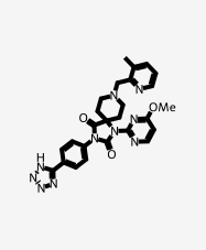 COc1ccnc(N2C(=O)N(c3ccc(-c4nnn[nH]4)cc3)C(=O)C23CCN(Cc2ncccc2C)CC3)n1